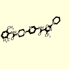 Cc1cccc(C)c1NC(=O)N1CCN(c2ccc(NC(=O)c3oc(N4CCCCC4)nc3C(F)(F)F)cn2)CC1